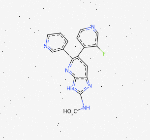 O=C(O)Nc1nc2cc(-c3ccncc3F)c(-c3cccnc3)nc2[nH]1